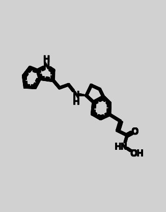 O=C(/C=C/c1ccc2c(c1)CC[C@@H]2NCCc1c[nH]c2ccccc12)NO